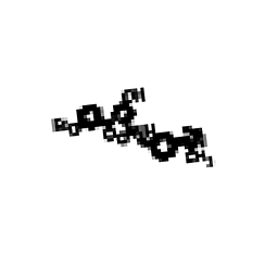 CCOc1cccc(C(=O)N2C[C@H](O)C[C@H]2C(=O)NCC2=CC=C(c3scnc3C)CC=C2)c1